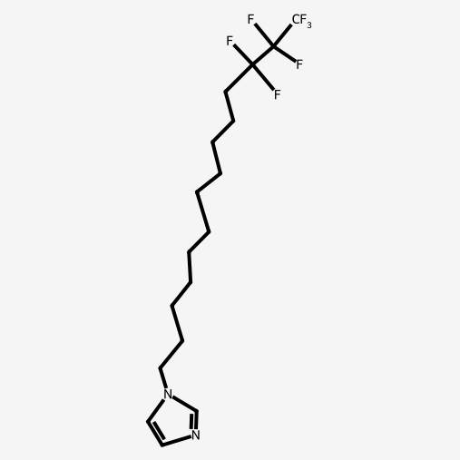 FC(F)(F)C(F)(F)C(F)(F)CCCCCCCCCCCn1ccnc1